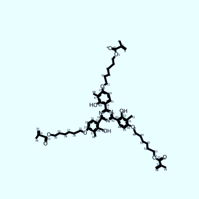 C=C(C)C(=O)OCCCCCCOc1ccc(-c2nc(-c3ccc(OCCCCCCOC(=O)C(=C)C)c(C)c3O)nc(-c3ccc(OCCCCCCOC(=O)C(=C)C)c(C)c3O)n2)c(O)c1C